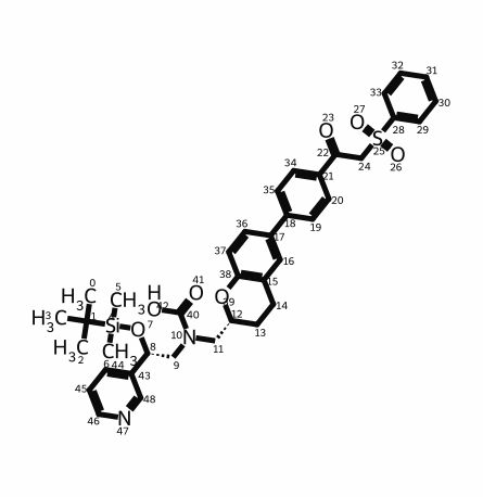 CC(C)(C)[Si](C)(C)O[C@H](CN(C[C@H]1CCc2cc(-c3ccc(C(=O)CS(=O)(=O)c4ccccc4)cc3)ccc2O1)C(=O)O)c1cccnc1